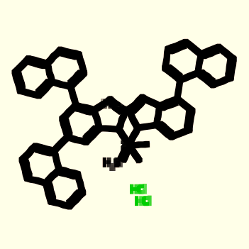 CC1=Cc2c(-c3cccc4ccccc34)cc(-c3cccc4ccccc34)cc2[CH]1[Zr]([CH3])([CH3])(=[SiH2])[CH]1C(C(C)C)=Cc2c(-c3cccc4ccccc34)cccc21.Cl.Cl